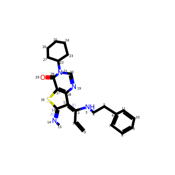 C=C/C(NCCc1ccccc1)=C1\C(=N/C)Sc2c1ncn(C1CCCCC1)c2=O